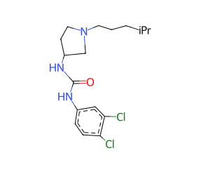 CC(C)CCCN1CCC(NC(=O)Nc2ccc(Cl)c(Cl)c2)C1